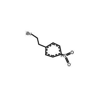 CCC(C)CCc1ccc([SH](=O)=O)cc1